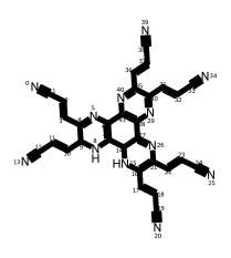 N#C/C=C/C1=NC2=C(NC1/C=C/C#N)C1NC(/C=C/C#N)=C(/C=C/C#N)N=C1c1nc(/C=C/C#N)c(/C=C/C#N)nc12